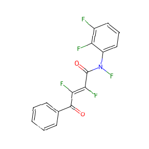 O=C(C(F)=C(F)C(=O)N(F)c1cccc(F)c1F)c1ccccc1